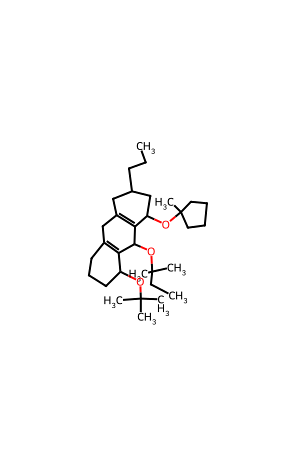 CCCC1CC2=C(C(OC3(C)CCCC3)C1)C(OC(C)(C)CC)C1=C(CCCC1OC(C)(C)C)C2